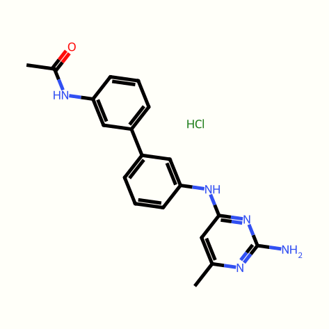 CC(=O)Nc1cccc(-c2cccc(Nc3cc(C)nc(N)n3)c2)c1.Cl